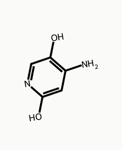 Nc1cc(O)ncc1O